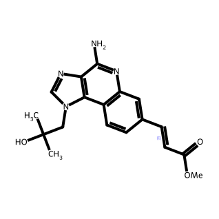 COC(=O)/C=C/c1ccc2c(c1)nc(N)c1ncn(CC(C)(C)O)c12